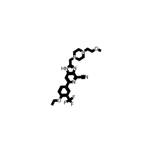 CCOc1ccc(-c2cc3[nH]c(CN4CCN(CCOC)CC4)nc3c(C#N)n2)cc1C(F)(F)F